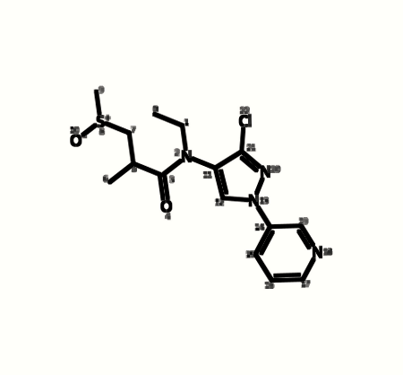 CCN(C(=O)C(C)C[S+](C)[O-])c1cn(-c2cccnc2)nc1Cl